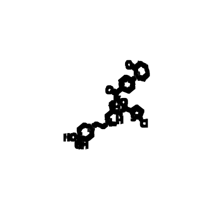 CN(CCN1CCS(O)(O)CC1)CC(CNC(=O)c1ccc(N2CCCCC2=O)cc1)NC(=O)c1ccc(Cl)s1